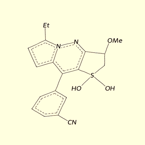 CCc1ccc2c(-c3cccc(C#N)c3)c3c(nn12)C(OC)CS3(O)O